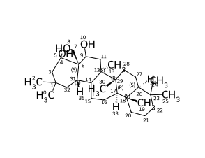 CC1(C)CC(O)[C@]2(CO)C(O)C[C@]3(C)C(=CC[C@@H]4[C@@]5(C)CCCC(C)(C)[C@@H]5CC[C@]43C)[C@@H]2C1